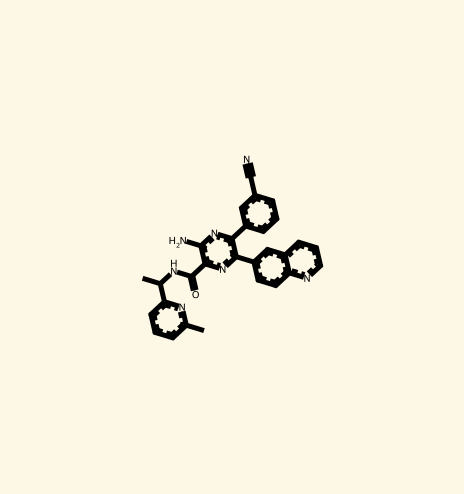 Cc1cccc(C(C)NC(=O)c2nc(-c3ccc4ncccc4c3)c(-c3cccc(C#N)c3)nc2N)n1